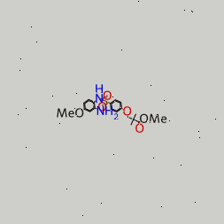 COC(=O)C(C)(C)COc1ccc(S(=O)(=O)Nc2ccc(OC)cc2N)cc1